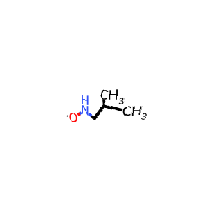 CC(C)CN[O]